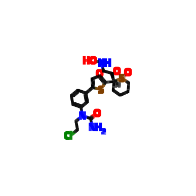 NC(=O)N(CCCl)c1cccc(-c2ccc([C@@]3(CC(=O)NO)CCCCS3(=O)=O)s2)c1